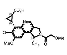 COCC(=O)N1Cc2cnc3c([C@@H]4C[C@H]4C(=O)O)c(Cl)c(OC)cc3c2[C@H]1C